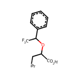 CC(C)CC(OC(c1ccccc1)C(F)(F)F)C(=O)O